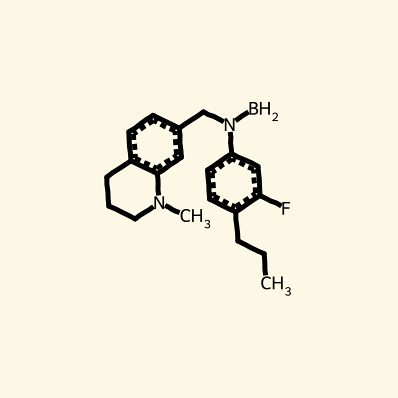 BN(Cc1ccc2c(c1)N(C)CCC2)c1ccc(CCC)c(F)c1